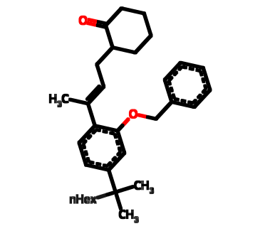 CCCCCCC(C)(C)c1ccc(/C(C)=C/CC2CCCCC2=O)c(OCc2ccccc2)c1